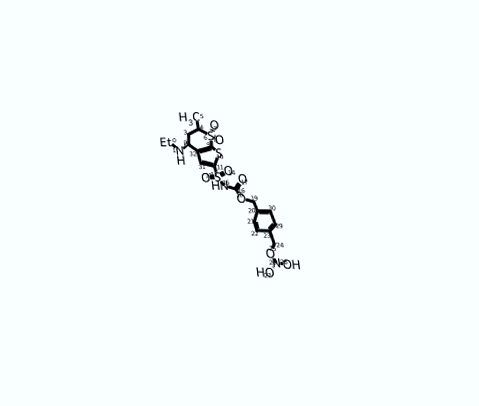 CCN[C@H]1CC(C)S(=O)(=O)c2sc(S(=O)(=O)NC(=O)OCc3ccc(CON(O)O)cc3)cc21